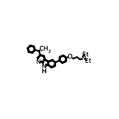 C=C(c1ccccc1)c1cnc2[nH]c3ccc(-c4ccc(OCCCN(CC)CC)cc4)cc3c2c1